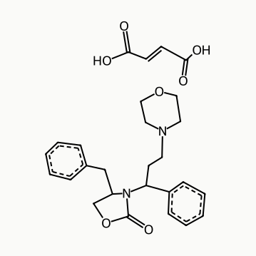 O=C(O)C=CC(=O)O.O=C1OCC(Cc2ccccc2)N1C(CCN1CCOCC1)c1ccccc1